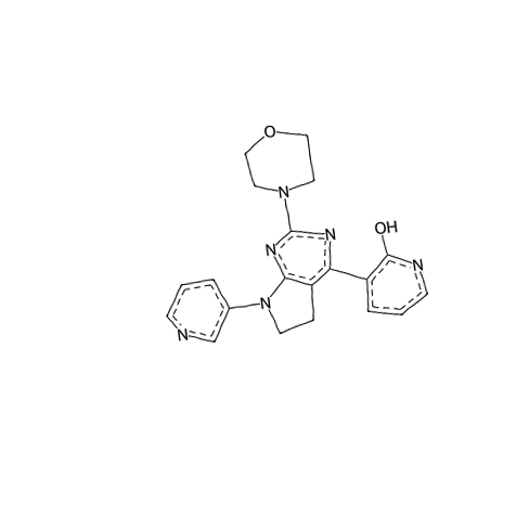 Oc1ncccc1-c1nc(N2CCOCC2)nc2c1CCN2c1cccnc1